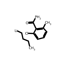 Cc1cccc(Cl)c1C(=O)P.[Li][CH2]CCC